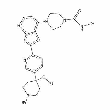 CCOC1(c2ccc(-c3cc4c(N5CCN(C(=O)NC(C)C)CC5)ccnn4c3)nc2)CCN(C(C)C)CC1